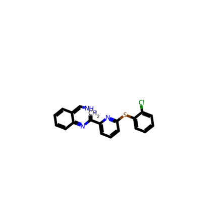 C=C(/N=C1/C=CC=C/C1=C/N)c1cccc(Sc2ccccc2Cl)n1